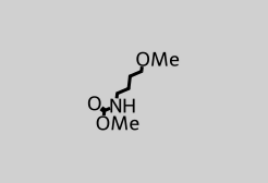 COCCCCNC(=O)OC